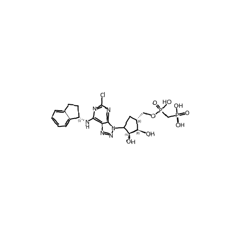 O=P(O)(O)CP(=O)(O)OC[C@H]1CC(n2nnc3c(N[C@H]4CCc5ccccc54)nc(Cl)nc32)[C@H](O)[C@@H]1O